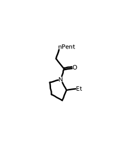 CCCCCCC(=O)N1CCCC1CC